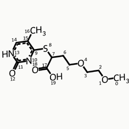 COCCOCCC(Sc1nc(=O)[nH]cc1C)C(=O)O